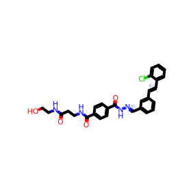 O=C(CCNC(=O)c1ccc(C(=O)N/N=C/c2cccc(/C=C/c3ccccc3Cl)c2)cc1)NCCO